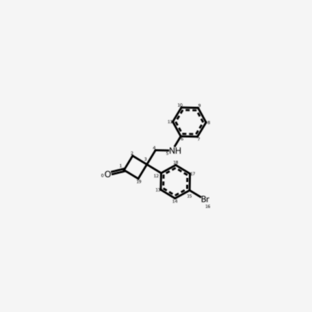 O=C1CC(CNc2ccccc2)(c2ccc(Br)cc2)C1